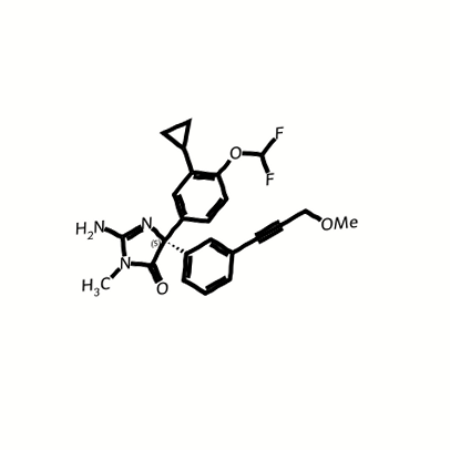 COCC#Cc1cccc([C@@]2(c3ccc(OC(F)F)c(C4CC4)c3)N=C(N)N(C)C2=O)c1